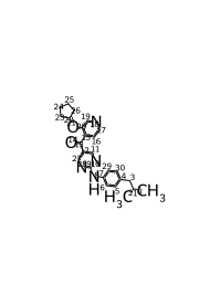 CC(C)Cc1ccc(Nc2ncc(C(=O)c3ccncc3OC3CCCC3)cn2)cc1